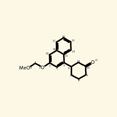 COCOc1cc(C2CCCC(=O)C2)c2ccccc2c1